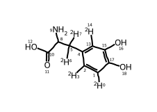 [2H]c1c([2H])c(C([2H])([2H])C(N)C(=O)O)c([2H])c(O)c1O